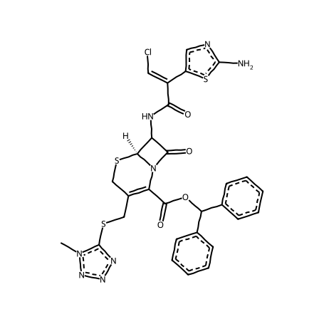 Cn1nnnc1SCC1=C(C(=O)OC(c2ccccc2)c2ccccc2)N2C(=O)C(NC(=O)C(=CCl)c3cnc(N)s3)[C@@H]2SC1